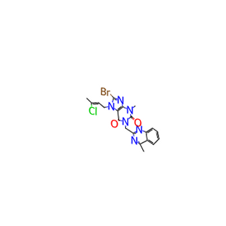 CC(Cl)=CCn1c(Br)nc2c1c(=O)n(Cc1nc(C)c3ccccc3n1)c(=O)n2C